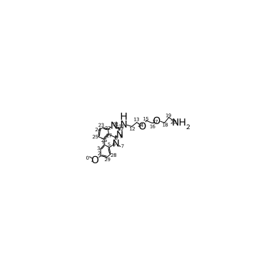 COc1ccc(N(C)c2nc(NCCOCCOCCN)nc3ccccc23)cc1